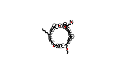 CCCCCCC1CCCCCC2CCC2CCCCCC(CCCCCC)CCCOC(=O)CCCCCN(C(=O)CCCN(C)C)CCCCCC(=O)OCCC1